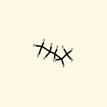 FC(F)(F)C(F)(F)C1(F)OC1(F)C(F)(F)F